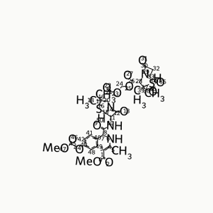 COC(=O)C=C(C)NC(C(=O)N[C@@H]1C(=O)N2[C@@H]1SC(C)(C)[C@@H]2C(=O)OCOC(=O)[C@@H]1N2C(=O)C[C@H]2S(=O)(=O)C1(C)C)c1ccc(OC(=O)OC)cc1